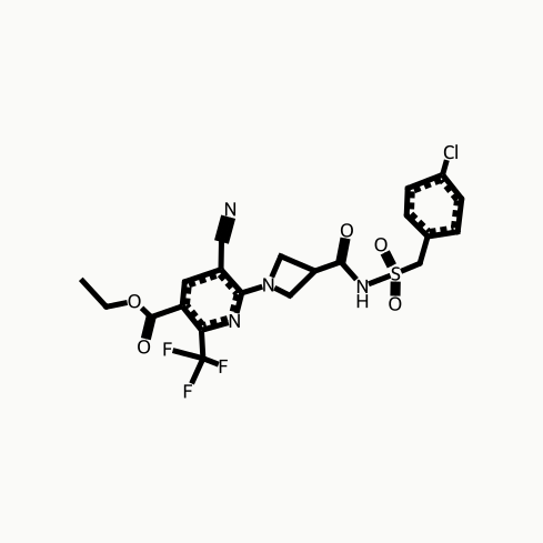 CCOC(=O)c1cc(C#N)c(N2CC(C(=O)NS(=O)(=O)Cc3ccc(Cl)cc3)C2)nc1C(F)(F)F